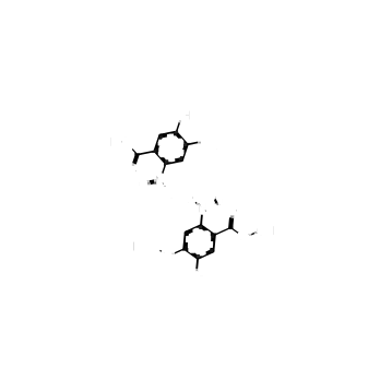 COC(=O)c1cc(O)c(OC)cc1[N+](=O)[O-].COc1cc([N+](=O)[O-])c(C(=O)O)cc1O